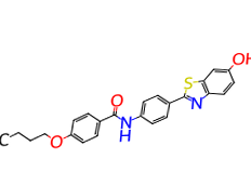 O=C(Nc1ccc(-c2nc3ccc(O)cc3s2)cc1)c1ccc(OCCCC(F)(F)F)cc1